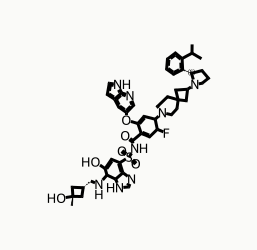 CC(C)c1ccccc1[C@@H]1CCCN1C1CC2(CCN(C3C=C(Oc4cnc5[nH]ccc5c4)C(C(=O)NS(=O)(=O)C4=C5N=CNC5C(NC[C@H]5C[C@@](C)(O)C5)C(O)=C4)=CC3F)CC2)C1